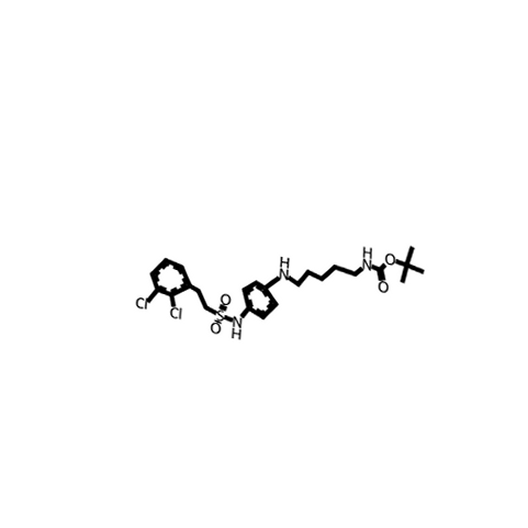 CC(C)(C)OC(=O)NCCCCCNc1ccc(NS(=O)(=O)CCc2cccc(Cl)c2Cl)cc1